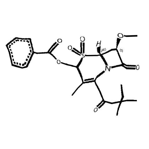 CO[C@H]1C(=O)N2C(C(=O)C(C)(C)C)=C(C)C(OC(=O)c3ccccc3)S(=O)(=O)[C@H]12